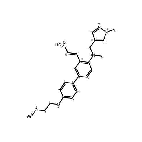 CCCCOCCOc1ccc(-c2ccc(N(C)Cc3cnn(C)c3)c(C=CC(=O)O)c2)cc1